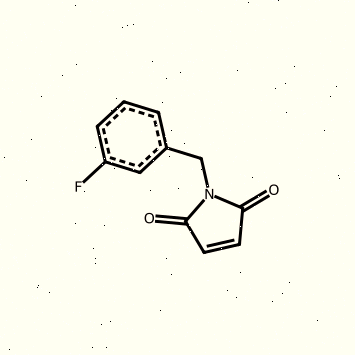 O=C1C=CC(=O)N1Cc1cccc(F)c1